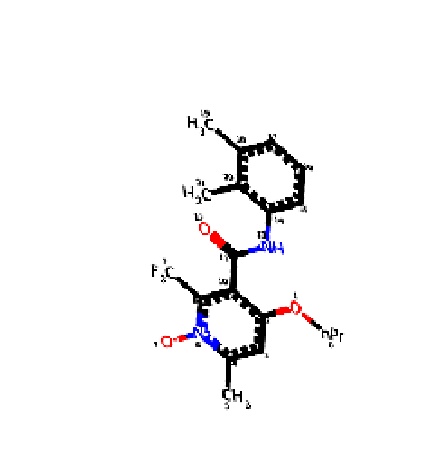 CCCOc1cc(C)[n+]([O-])c(C(F)(F)F)c1C(=O)Nc1cccc(C)c1C